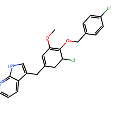 COC1=C(OCc2ccc(Cl)cc2)C(Cl)CC(Cc2c[nH]c3ncccc23)=C1